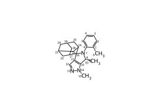 Cc1ccccc1N1[C@@H](C)c2c(cnn2C)C12C1CC3CC(C1)CC2C3